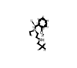 CCN(CCNCC(C)(C)C)[C@@H](C)c1ccccc1OC